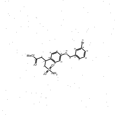 COC(=O)CC(CS(N)(=O)=O)c1ccc(OCc2cccc(Br)c2)cc1